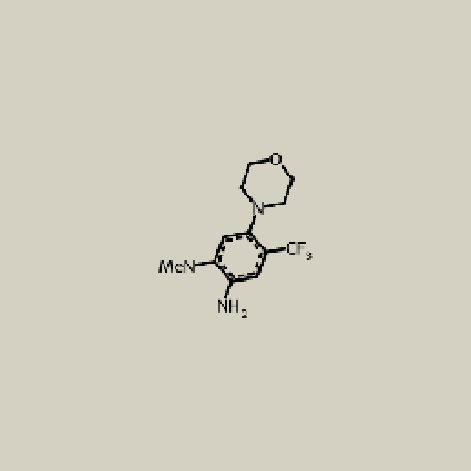 CNc1cc(N2CCOCC2)c(C(F)(F)F)cc1N